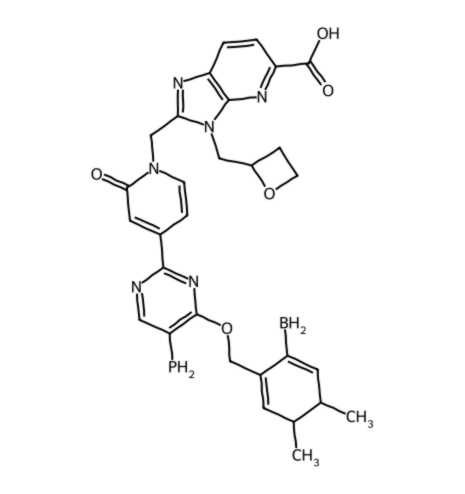 BC1=CC(C)C(C)C=C1COc1nc(-c2ccn(Cc3nc4ccc(C(=O)O)nc4n3CC3CCO3)c(=O)c2)ncc1P